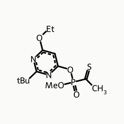 CCOc1cc(OP(=O)(OC)C(C)=S)nc(C(C)(C)C)n1